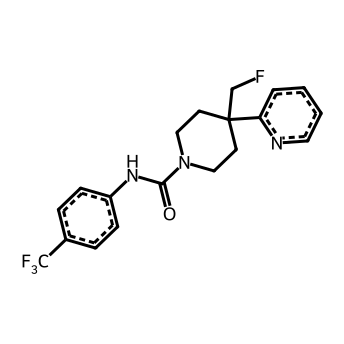 O=C(Nc1ccc(C(F)(F)F)cc1)N1CCC(CF)(c2ccccn2)CC1